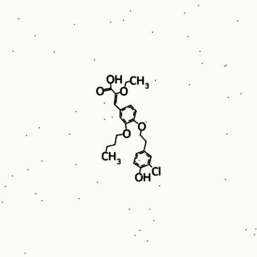 CCCCOc1cc(C=C(OCC)C(=O)O)ccc1OCCc1ccc(O)c(Cl)c1